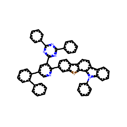 c1ccc(-c2nc(-c3ccccc3)nc(-c3cc(-c4ccccc4-c4ccccc4)cnc3-c3ccc4c(c3)sc3c4ccc4c5ccccc5n(-c5ccccc5)c43)n2)cc1